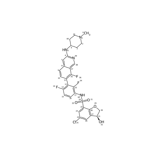 CN1CCC(Nc2cc3ccc(-c4c(F)ccc(NS(=O)(=O)c5cc(Cl)cc6c5OC[C@H]6O)c4F)c(F)c3cn2)CC1